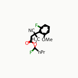 CCCC(F)OC(=O)CC(C)(C#N)c1c(F)cccc1OC